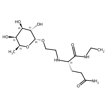 [CH2]CNC(=O)[C@H](CCC(N)=O)NCCO[C@@H]1O[C@@H](C)[C@@H](O)[C@@H](O)[C@@H]1O